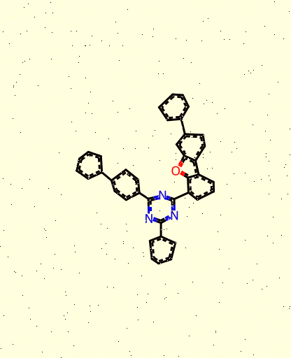 c1ccc(-c2ccc(-c3nc(-c4ccccc4)nc(-c4cccc5c4oc4cc(-c6ccccc6)ccc45)n3)cc2)cc1